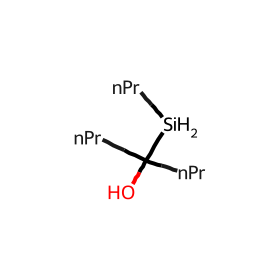 CCC[SiH2]C(O)(CCC)CCC